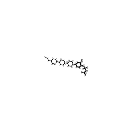 CCCC1CCC(C2CCC(C3CCC(c4ccc(OC(F)(F)C=C(F)F)c(F)c4)CC3)CC2)OC1